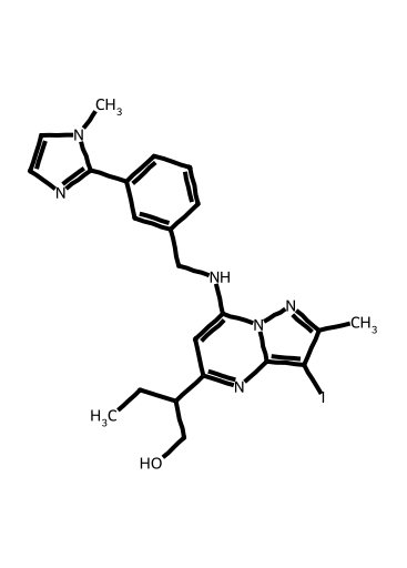 CCC(CO)c1cc(NCc2cccc(-c3nccn3C)c2)n2nc(C)c(I)c2n1